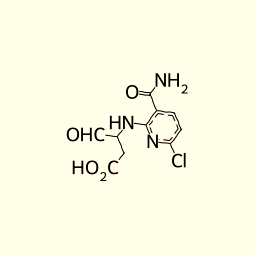 NC(=O)c1ccc(Cl)nc1NC(C=O)CC(=O)O